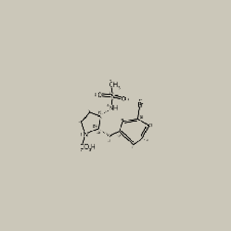 CS(=O)(=O)N[C@H]1CCN(C(=O)O)[C@H]1Cc1cccc(Br)c1